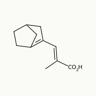 CC(=CC1=C2CCC(C1)C2)C(=O)O